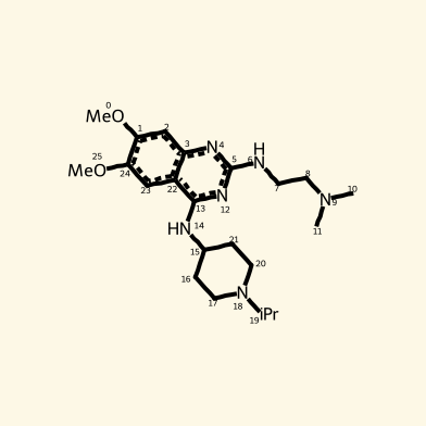 COc1cc2nc(NCCN(C)C)nc(NC3CCN(C(C)C)CC3)c2cc1OC